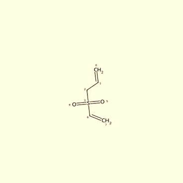 C=CCS(=O)(=O)C=C